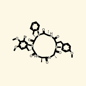 COc1ccc(CC2C(=O)N[C@@H](C)C(=O)N(C)[C@@H](Cc3ccccc3)C(=O)N(C)[C@@H](Cc3cc(Br)c(OC)c(OC)c3)C(=O)N[C@H](C)C(=O)N[C@@H](C)C(=O)N2C)cc1